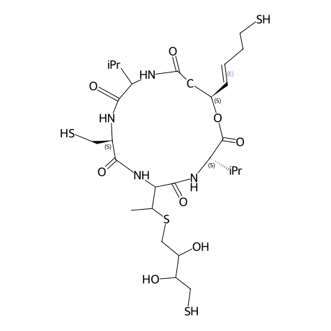 CC(C)C1NC(=O)C[C@@H](/C=C/CCS)OC(=O)[C@H](C(C)C)NC(=O)C(C(C)SCC(O)C(O)CS)NC(=O)[C@@H](CS)NC1=O